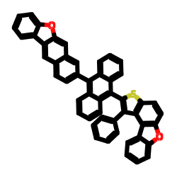 c1ccc(-c2c(-c3c4ccccc4c(-c4ccc5cc6c(cc5c4)oc4ccccc46)c4ccccc34)sc3ccc4oc5ccccc5c4c23)cc1